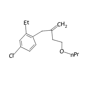 C=C(CCOCCC)Cc1ccc(Cl)cc1CC